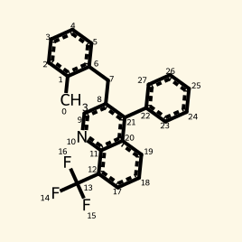 Cc1ccccc1Cc1cnc2c(C(F)(F)F)cccc2c1-c1ccccc1